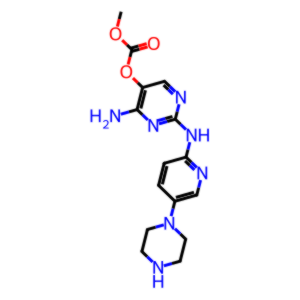 COC(=O)Oc1cnc(Nc2ccc(N3CCNCC3)cn2)nc1N